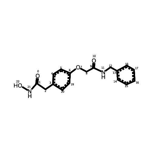 O=C(Cc1ccc(OCC(=O)NCc2ccccc2)cc1)NO